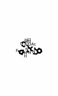 CC(=O)OC(c1nc(Nc2ccc(F)cc2)nc(N2CCc3ccccc3C2C)c1C)N1CCOCC1.Cl.Cl